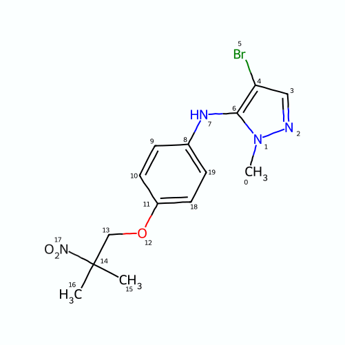 Cn1ncc(Br)c1Nc1ccc(OCC(C)(C)[N+](=O)[O-])cc1